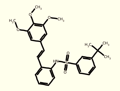 COc1cc(C=Cc2ccccc2NS(=O)(=O)c2cccc(C(C)(C)C)c2)cc(OC)c1OC